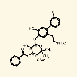 CO[C@@H]1[C@@H](OC(=O)c2ccccc2)[C@@H](O)[C@H](Oc2cc(CCNC(C)=O)c(-c3cccc(F)c3)cc2O)OC1(C)C